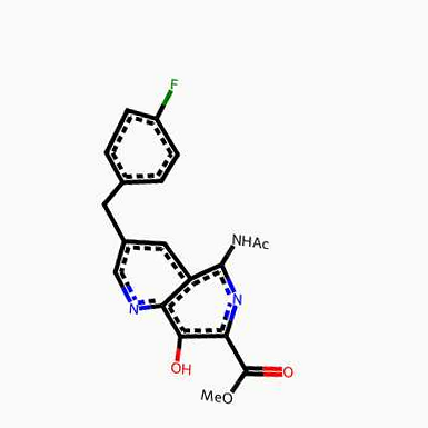 COC(=O)c1nc(NC(C)=O)c2cc(Cc3ccc(F)cc3)cnc2c1O